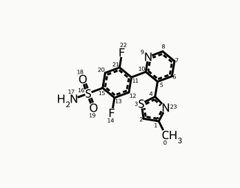 Cc1csc(-c2cccnc2-c2cc(F)c(S(N)(=O)=O)cc2F)n1